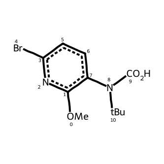 COc1nc(Br)ccc1N(C(=O)O)C(C)(C)C